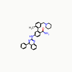 Cc1ccc(CN2CCCCC2)cc1-c1cc(Nc2nc(-c3ccccc3)c3ccccc3n2)ccc1C(N)=O